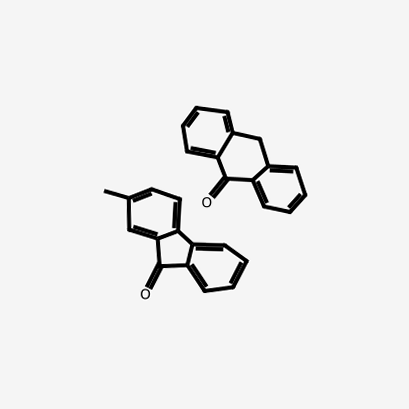 Cc1ccc2c(c1)C(=O)c1ccccc1-2.O=C1c2ccccc2Cc2ccccc21